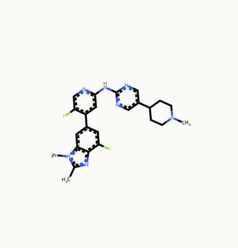 Cc1nc2c(F)cc(-c3cc(Nc4ncc(C5CCN(C)CC5)cn4)ncc3F)cc2n1C(C)C